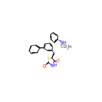 O=C(O)Nc1ccccc1.O=C1NC(=O)C(=Cc2cccc(-c3ccccc3)c2)S1